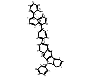 C1=CCC2C(=C1)c1cc3cc(-c4ccc(-c5ccc6c7c(cccc57)-c5ccccc5O6)cc4)ccc3cc1N2c1ccccc1